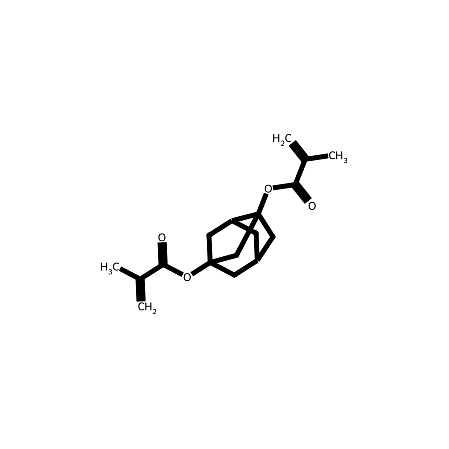 C=C(C)C(=O)OC12CC3CC(C1)C(OC(=O)C(=C)C)(C3)C2